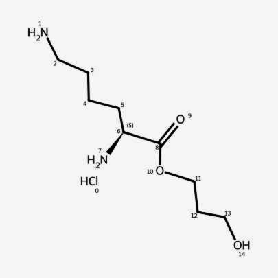 Cl.NCCCC[C@H](N)C(=O)OCCCO